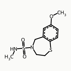 CNS(=O)(=O)N1CCSc2ccc(OC)cc2C1